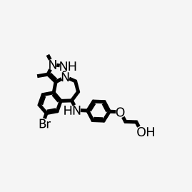 CC1=C2c3ccc(Br)cc3C(Nc3ccc(OCCO)cc3)CCN2NN1C